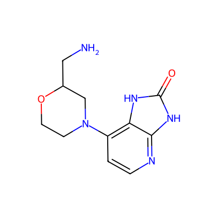 NCC1CN(c2ccnc3[nH]c(=O)[nH]c23)CCO1